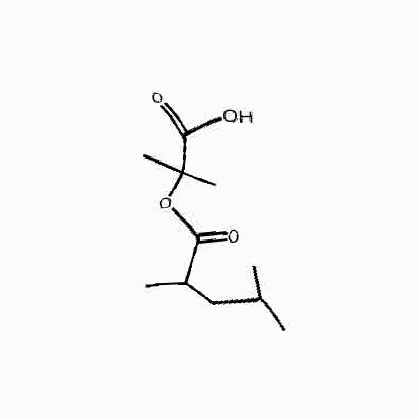 CC(C)CC(C)C(=O)OC(C)(C)C(=O)O